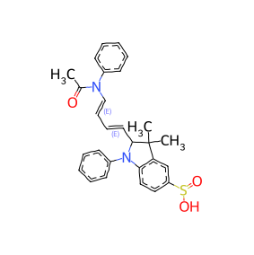 CC(=O)N(/C=C/C=C/C1N(c2ccccc2)c2ccc(S(=O)O)cc2C1(C)C)c1ccccc1